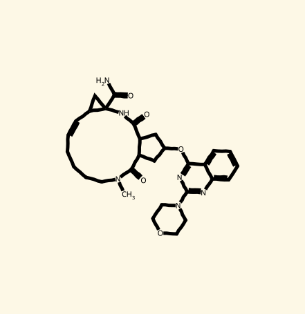 CN1CCCCC=CC2CC2(C(N)=O)NC(=O)C2CC(Oc3nc(N4CCOCC4)nc4ccccc34)CC2C1=O